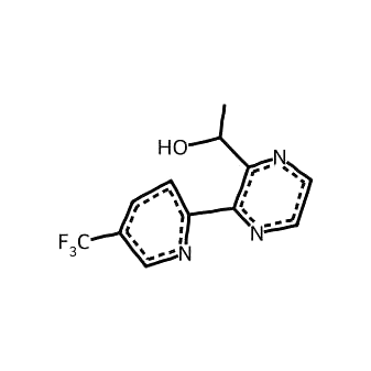 CC(O)c1nccnc1-c1ccc(C(F)(F)F)cn1